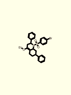 CCOC1=C2CCC(c3ccccc3)CC2N(S(=O)(=O)c2ccc(Br)cc2)C(c2ccccc2)C1